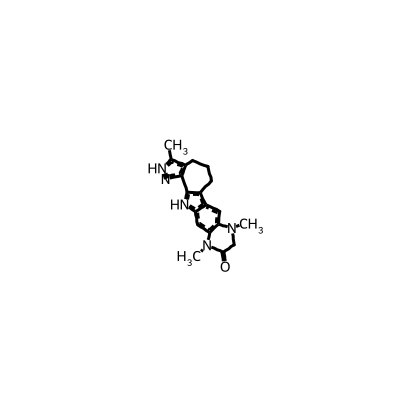 Cc1[nH]nc2c1CCCc1c-2[nH]c2cc3c(cc12)N(C)CC(=O)N3C